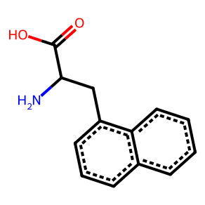 NC(Cc1cccc2ccccc12)C(=O)O